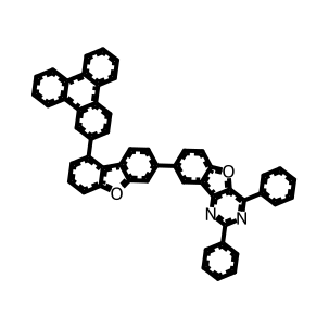 c1ccc(-c2nc(-c3ccccc3)c3oc4ccc(-c5ccc6c(c5)oc5cccc(-c7ccc8c9ccccc9c9ccccc9c8c7)c56)cc4c3n2)cc1